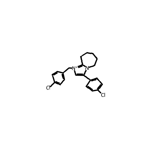 Clc1ccc(C[n+]2cc(-c3ccc(Cl)cc3)n3c2CCCCC3)cc1